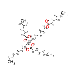 CCCCCCCCC(OC(=O)CCCCCC)C(CCCCCCCCOC(=O)CCCCCC)OC(=O)CCCCCC